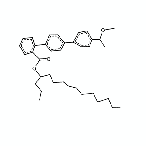 CCCCCCCCCCCC(CCC)OC(=O)c1ccccc1-c1ccc(-c2ccc(C(C)OC)cc2)cc1